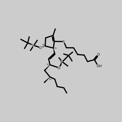 CCCC[C@@H](C)C[C@@H](C=C[C@@H]1C(SCCCCCC(=O)O)=C(C)C[C@H]1O[Si](C)(C)C(C)(C)C)O[Si](C)(C)C(C)(C)C